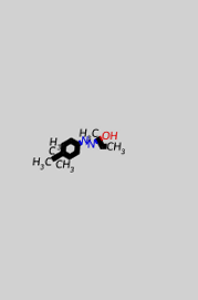 CCC(C)(O)/N=N/C1CCC(C(C)(C)C)CC1